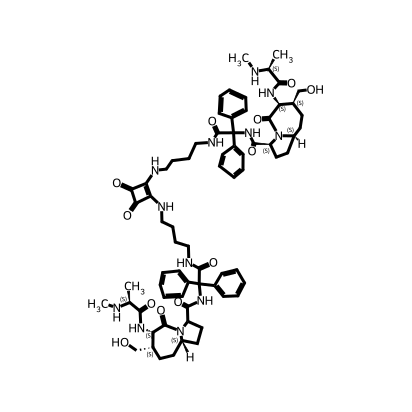 CN[C@@H](C)C(=O)N[C@@H]1C(=O)N2C(C(=O)NC(C(=O)NCCCCNc3c(NCCCCNC(=O)C(NC(=O)[C@@H]4CC[C@@H]5CC[C@H](CO)[C@H](NC(=O)[C@H](C)NC)C(=O)N54)(c4ccccc4)c4ccccc4)c(=O)c3=O)(c3ccccc3)c3ccccc3)CC[C@@H]2CC[C@@H]1CO